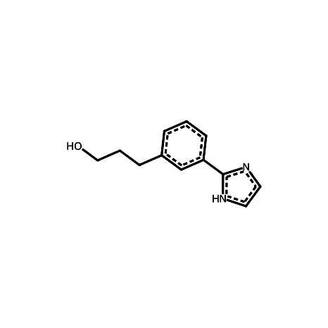 OCCCc1cccc(-c2ncc[nH]2)c1